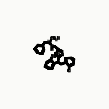 O=C(O)[C@H](Cc1ccccc1)NCc1cnc(C(Cc2ccccc2Cl)c2ccccc2S)[nH]1